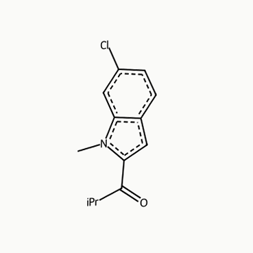 CC(C)C(=O)c1cc2ccc(Cl)cc2n1C